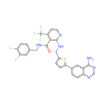 Nc1ncnc2ccc(-c3ccc(CNc4nccc(C(F)(F)F)c4C(=O)NCc4ccc(F)c(F)c4)s3)cc12